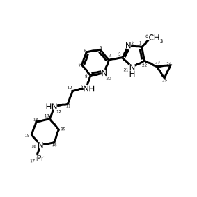 Cc1nc(-c2cccc(NCCNC3CCN(C(C)C)CC3)n2)[nH]c1C1CC1